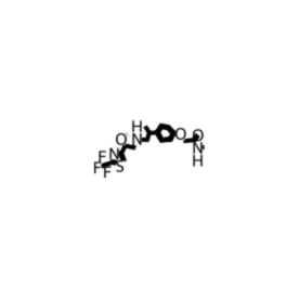 CNC(=O)COc1ccc(C(C)CNCC(OC)c2csc(C(F)(F)F)n2)cc1